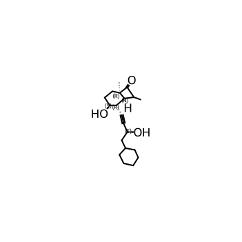 CC1C(=O)[C@]2(C)CC[C@H](O)[C@@H](C#C[C@@H](O)CC3CCCCC3)[C@H]12